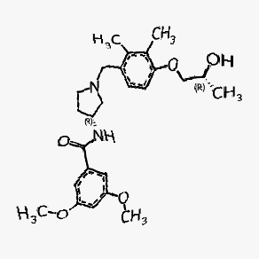 COc1cc(OC)cc(C(=O)N[C@@H]2CCN(Cc3ccc(OC[C@@H](C)O)c(C)c3C)C2)c1